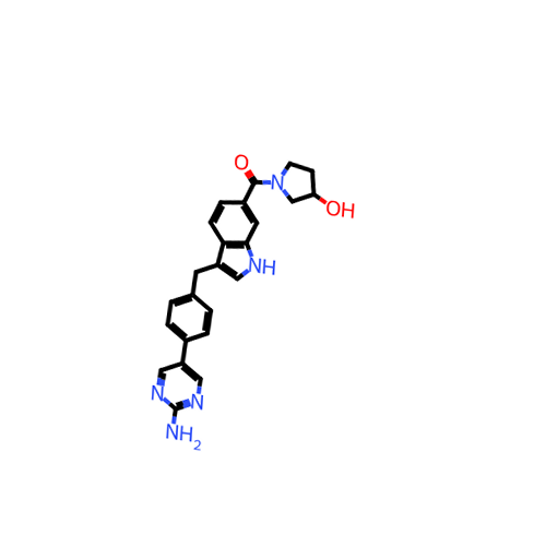 Nc1ncc(-c2ccc(Cc3c[nH]c4cc(C(=O)N5CCC(O)C5)ccc34)cc2)cn1